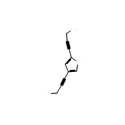 NCC#Cc1c[nH]c(C#CCN)c1